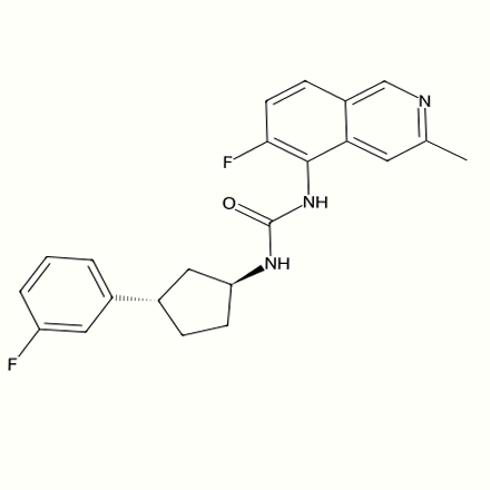 Cc1cc2c(NC(=O)N[C@H]3CC[C@H](c4cccc(F)c4)C3)c(F)ccc2cn1